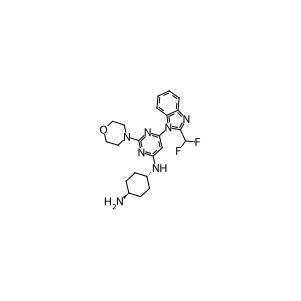 N[C@H]1CC[C@H](Nc2cc(-n3c(C(F)F)nc4ccccc43)nc(N3CCOCC3)n2)CC1